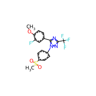 COc1ccc(-c2nc(C(F)(F)F)nn2-c2ccc(S(C)(=O)=O)cc2)cc1F